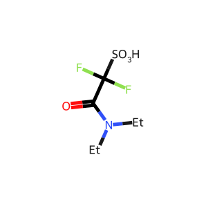 CCN(CC)C(=O)C(F)(F)S(=O)(=O)O